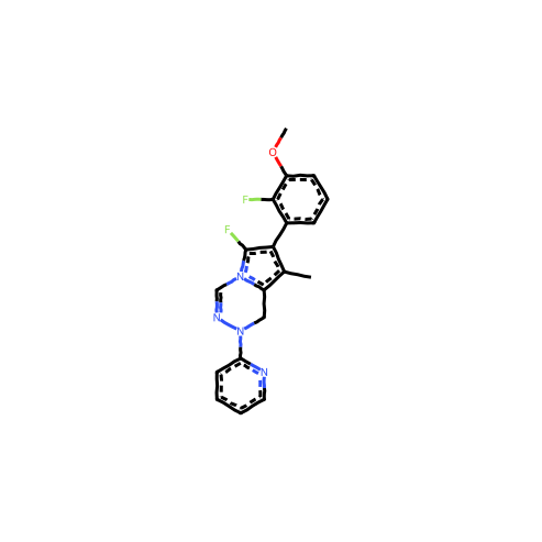 COc1cccc(-c2c(C)c3n(c2F)C=NN(c2ccccn2)C3)c1F